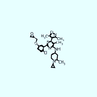 Cc1noc(C)c1-c1nc(-c2cc(OC[C@H]3CO3)ccc2Cl)nc(NC2CCN(C3CC3)C(C)C2)c1C